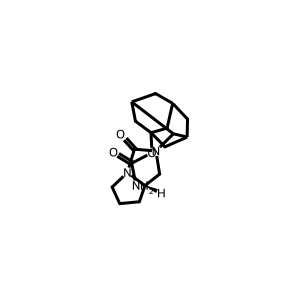 NC(=O)OC12CC3CC(C1)C(N1C[C@@H]4CCCN4C1=O)C(C3)C2